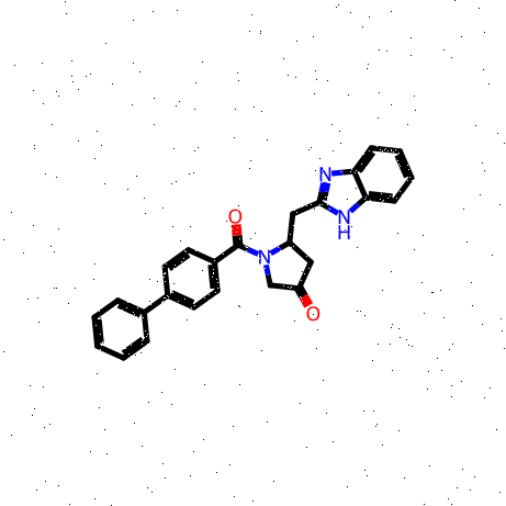 O=C1CC(Cc2nc3ccccc3[nH]2)N(C(=O)c2ccc(-c3ccccc3)cc2)C1